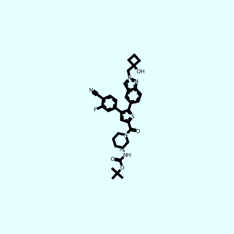 CC(C)(C)OC(=O)N[C@@H]1CCCN(C(=O)c2cc(-c3ccc(C#N)c(F)c3)c(-c3ccc4nn(CC5(O)CCC5)cc4c3)s2)C1